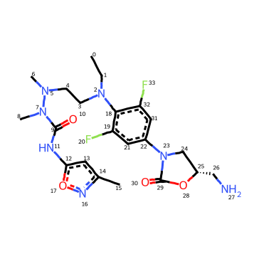 CCN(CCN(C)N(C)C(=O)Nc1cc(C)no1)c1c(F)cc(N2C[C@H](CN)OC2=O)cc1F